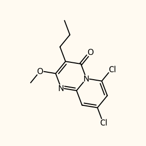 CCCc1c(OC)nc2cc(Cl)cc(Cl)n2c1=O